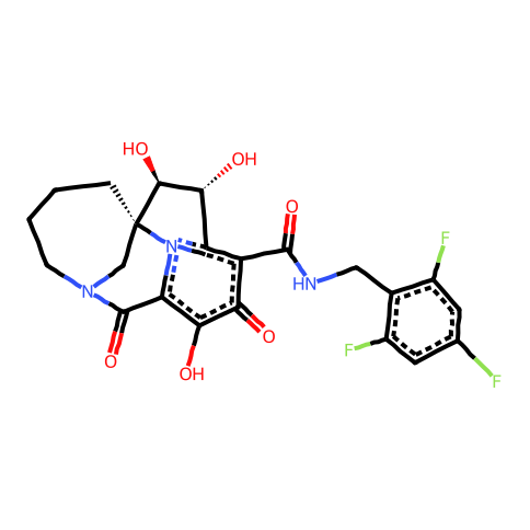 O=C(NCc1c(F)cc(F)cc1F)c1c2n3c(c(O)c1=O)C(=O)N1CCCC[C@]3(C1)[C@@H](O)[C@@H]2O